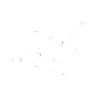 COC(=O)O[C@H]([C@@H](COC(=O)OC(C)C)OC#N)[C@@H](OC(=O)OC)c1ccc2c(N)ncnn12